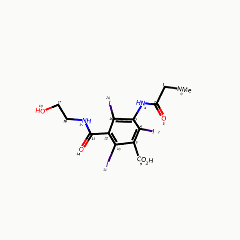 CNCC(=O)Nc1c(I)c(C(=O)O)c(I)c(C(=O)NCCO)c1I